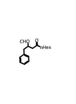 CCCCCCC(=O)CC(C=O)Cc1ccccc1